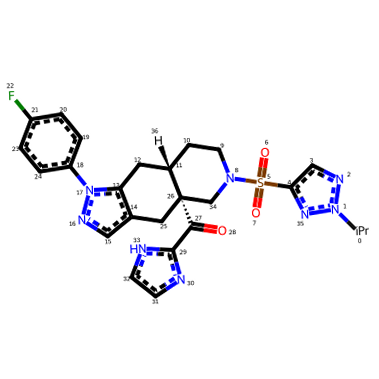 CC(C)n1ncc(S(=O)(=O)N2CC[C@H]3Cc4c(cnn4-c4ccc(F)cc4)C[C@]3(C(=O)c3ncc[nH]3)C2)n1